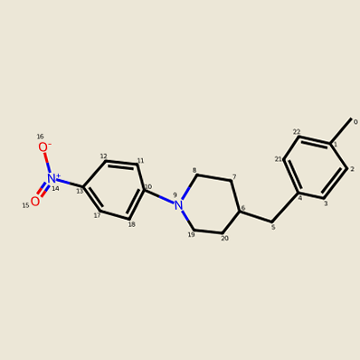 Cc1ccc(CC2CCN(c3ccc([N+](=O)[O-])cc3)CC2)cc1